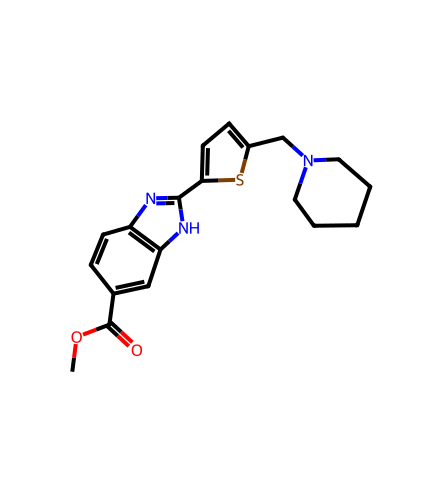 COC(=O)c1ccc2nc(-c3ccc(CN4CCCCC4)s3)[nH]c2c1